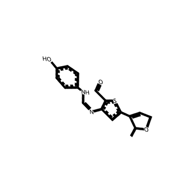 CC1OCC=C1c1cc(/N=C\Nc2ccc(O)cc2)c(C=O)s1